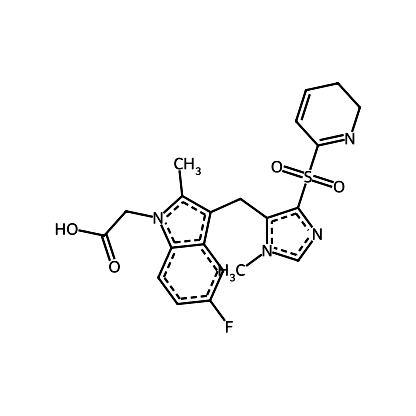 Cc1c(Cc2c(S(=O)(=O)C3=NCCC=C3)ncn2C)c2cc(F)ccc2n1CC(=O)O